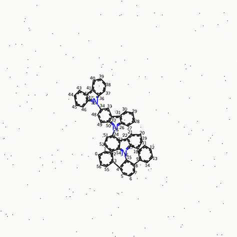 c1ccc(-c2cccc(-c3ccccc3)c2-n2c3ccccc3c3c(-n4c5ccccc5c5cc(-n6c7ccccc7c7ccccc76)ccc54)cccc32)cc1